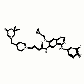 CC1(C)CN(CC2CCN(CC=CC(=O)Nc3cc4c(Nc5ccc(F)c(Cl)c5)ncnc4cc3OCC3CC3)CC2)CC(=O)O1